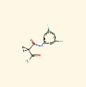 CC(=O)C1(C(=O)Nc2cc(F)cc(F)c2)CC1